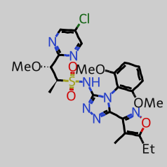 CCc1onc(-c2nnc(NS(=O)(=O)[C@@H](C)[C@H](OC)c3ncc(Cl)cn3)n2-c2c(OC)cccc2OC)c1C